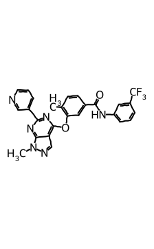 Cc1ccc(C(=O)Nc2cccc(C(F)(F)F)c2)cc1Oc1nc(-c2cccnc2)nc2c1cnn2C